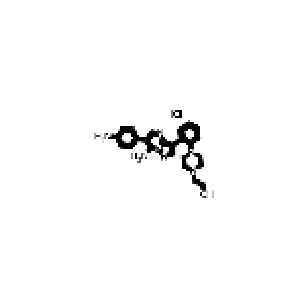 Cl.Nc1ccc(-c2cnc3c(-c4ccccc4N4CCN(CCO)CC4)cnn3c2N)cc1